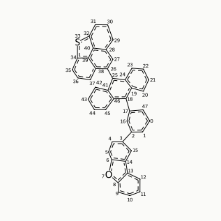 c1cc(-c2ccc3oc4ccccc4c3c2)cc(-c2c3ccccc3c(-c3cc4cccc5sc6cccc3c6c45)c3ccccc23)c1